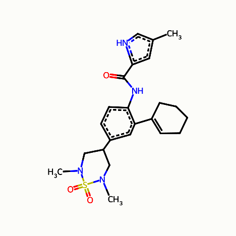 Cc1c[nH]c(C(=O)Nc2ccc(C3CN(C)S(=O)(=O)N(C)C3)cc2C2=CCCCC2)c1